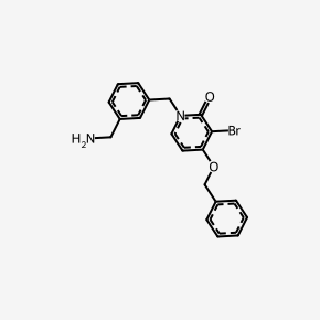 NCc1cccc(Cn2ccc(OCc3ccccc3)c(Br)c2=O)c1